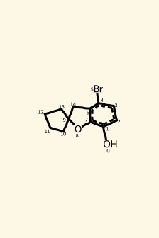 Oc1ccc(Br)c2c1OC1(CCCC1)C2